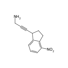 NCC#CC1CCc2c1cccc2[N+](=O)[O-]